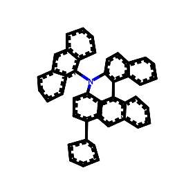 c1ccc(-c2ccc(N(c3ccc4ccccc4c3-c3cccc4ccccc34)c3c4ccccc4cc4ccccc34)cc2)cc1